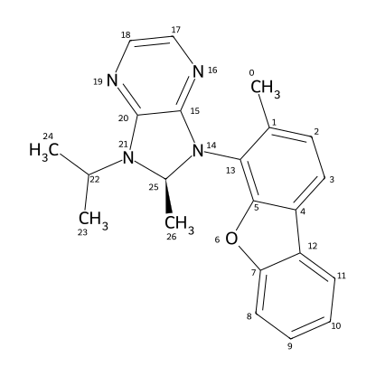 Cc1ccc2c(oc3ccccc32)c1N1c2nccnc2N(C(C)C)[C@@H]1C